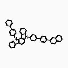 c1ccc(-c2ccc(-n3c4ccccc4c4ccc5c(c6ccccc6n5-c5ccc(-c6ccc(-c7ccc8ccccc8c7)cc6)cc5)c43)cc2)cc1